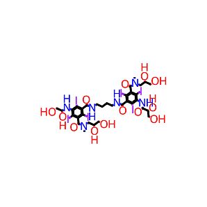 CN(CC(O)CO)C(=O)c1c(I)c(NC(=O)C(O)CO)c(I)c(C(=O)NCCCCNC(=O)c2c(I)c(NC(O)CO)c(I)c(C(=O)N(C)CC(O)CO)c2I)c1I